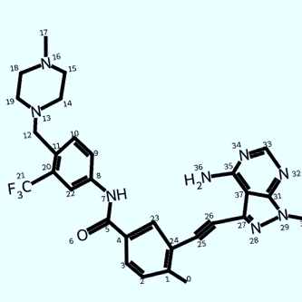 Cc1ccc(C(=O)Nc2ccc(CN3CCN(C)CC3)c(C(F)(F)F)c2)cc1C#Cc1nn(C)c2ncnc(N)c12